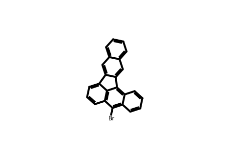 Brc1c2ccccc2c2c3c(cccc13)-c1cc3ccccc3cc1-2